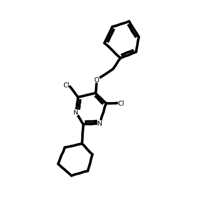 Clc1nc(C2CCCCC2)nc(Cl)c1OCc1ccccc1